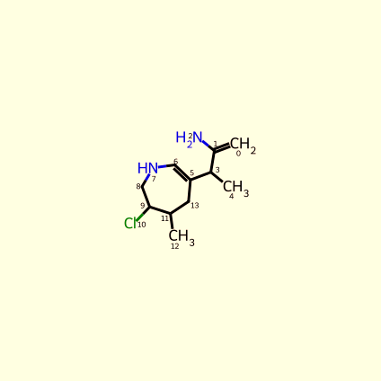 C=C(N)C(C)C1=CNCC(Cl)C(C)C1